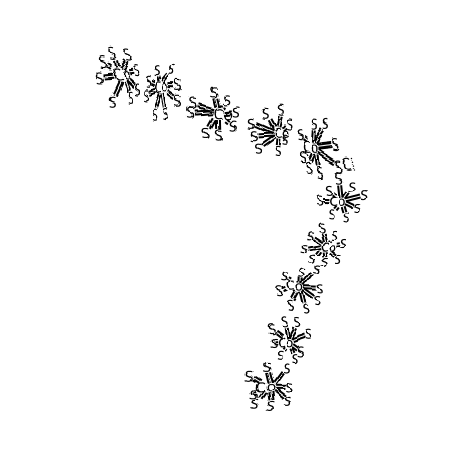 [C].[S]=[Co](=[S])(=[S])(=[S])(=[S])(=[S])(=[S])=[S].[S]=[Co](=[S])(=[S])(=[S])(=[S])(=[S])(=[S])=[S].[S]=[Co](=[S])(=[S])(=[S])(=[S])(=[S])(=[S])=[S].[S]=[Co](=[S])(=[S])(=[S])(=[S])(=[S])(=[S])=[S].[S]=[Co](=[S])(=[S])(=[S])(=[S])(=[S])(=[S])=[S].[S]=[Co](=[S])(=[S])(=[S])(=[S])(=[S])(=[S])=[S].[S]=[Co](=[S])(=[S])(=[S])(=[S])(=[S])(=[S])=[S].[S]=[Co](=[S])(=[S])(=[S])(=[S])(=[S])(=[S])=[S].[S]=[Co](=[S])(=[S])(=[S])(=[S])(=[S])(=[S])=[S].[S]=[Co](=[S])(=[S])(=[S])(=[S])(=[S])(=[S])=[S]